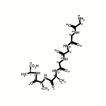 C[C@H](NC(=O)[C@H](C)NC(=O)[C@H](C)NC(=O)CNC(=O)CNC(=O)CNC(=O)CN)C(=O)O